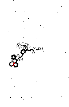 CCOC(=O)C=Cc1nn(C(C)(C)C)c2ccc(CC(=O)NC(c3ccccc3)c3ccccc3N3CCCCC3)cc12